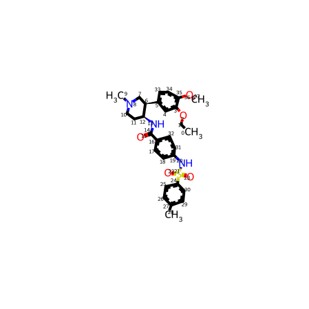 CCOc1cc([C@@H]2CN(C)CC[C@@H]2NC(=O)c2ccc(NS(=O)(=O)c3ccc(C)cc3)cc2)ccc1OC